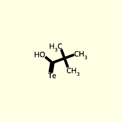 CC(C)(C)C(O)=[Te]